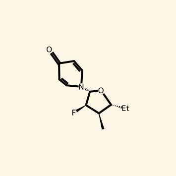 CC[C@H]1O[C@@H](n2ccc(=O)cc2)[C@H](F)[C@@H]1C